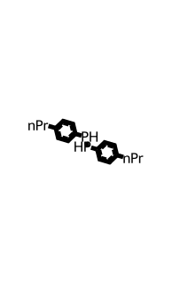 CCCc1ccc(PPc2ccc(CCC)cc2)cc1